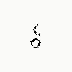 N=S=O.c1csnn1